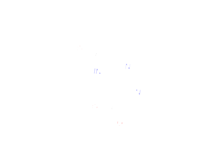 O=C(O)c1ncn2ccc(=O)[nH]c12